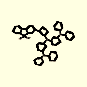 CCCC1(CCC)c2ccccc2-c2ccc(-c3cccc(N(c4cccc(N(c5ccccc5)c5ccccc5)c4)c4cccc(N(c5ccccc5)c5ccccc5)c4)c3)cc21